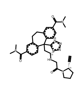 C#C[C@@H]1CCCN1C(=O)CN[C@@H](C)CC1(c2nnn[nH]2)c2ccc(C(=O)N(C)C)cc2CCc2cc(C(=O)N(C)C)ccc21